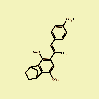 COc1cc(C(C)=Cc2ccc(C(=O)O)cc2)c(OC)c2c1C1CCC2C1